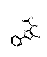 CN(C(=O)C(F)(F)F)c1sc(-c2cccnc2)nc1Cl